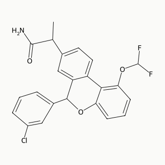 CC(C(N)=O)c1ccc2c(c1)C(c1cccc(Cl)c1)Oc1cccc(OC(F)F)c1-2